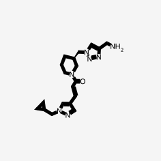 NCc1cn(C[C@@H]2CCCN(C(=O)/C=C/c3cnn(CC4CC4)c3)C2)nn1